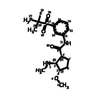 CN[C@@H]1[C@@H](OC)CC[C@@H]1C(=O)Nc1cccc(S(=O)(=O)C(C)(F)P)c1